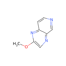 COc1cnc2cnccc2n1